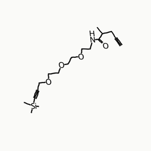 C#CCC(C)C(=O)NCCOCCOCCOCC#C[Si](C)(C)C